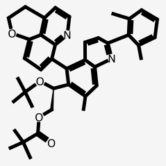 Cc1cccc(C)c1-c1ccc2c(-c3ccc4c5c(ccnc35)CCO4)c([C@@H](COC(=O)C(C)(C)C)OC(C)(C)C)c(C)cc2n1